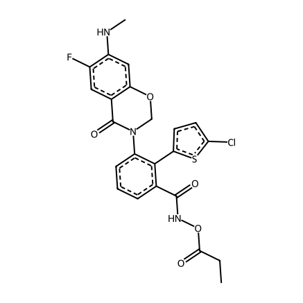 CCC(=O)ONC(=O)c1cccc(N2COc3cc(NC)c(F)cc3C2=O)c1-c1ccc(Cl)s1